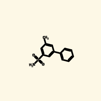 Cc1cc(-c2ccccc2)cc(S(N)(=O)=O)c1